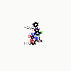 Cc1ccc([C@H](Nc2c(Nc3c(F)cc(Cl)c4c3C(=O)N(c3ccccc3C(=O)O)C4)c(=O)c2=O)C(C)(C)C)o1